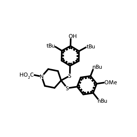 CCCCc1cc(SC2(Sc3cc(C(C)(C)C)c(O)c(C(C)(C)C)c3)CCN(C(=O)O)CC2)cc(CCCC)c1OC